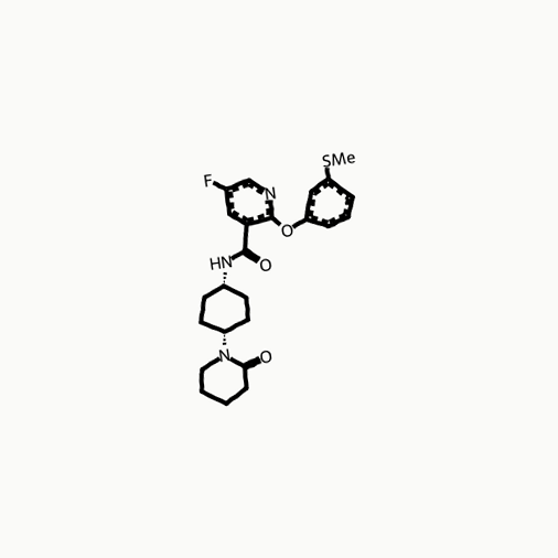 CSc1cccc(Oc2ncc(F)cc2C(=O)N[C@H]2CC[C@@H](N3CCCCC3=O)CC2)c1